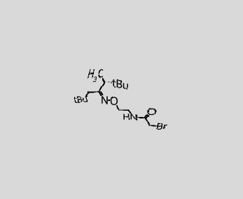 C[C@@H](C(CC(C)(C)C)=NOCCNC(=O)CBr)C(C)(C)C